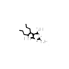 CCCc1[nH]c2nc(N)nc(N)c2c1CCC